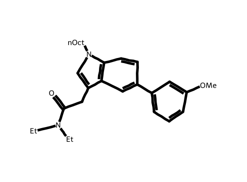 CCCCCCCCn1cc(CC(=O)N(CC)CC)c2cc(-c3cccc(OC)c3)ccc21